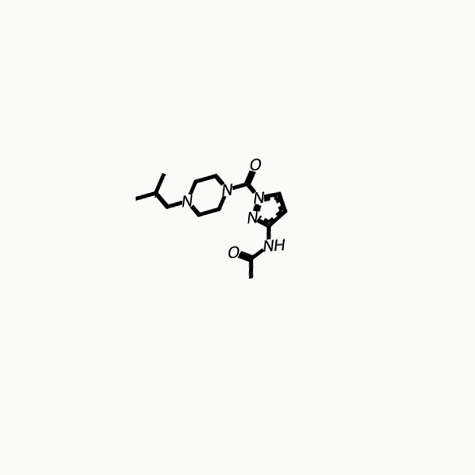 C[C](C)CN1CCN(C(=O)n2ccc(NC(C)=O)n2)CC1